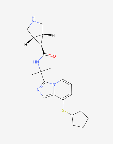 CC(C)(NC(=O)[C@H]1[C@@H]2CNC[C@@H]21)c1ncc2c(SC3CCCC3)cccn12